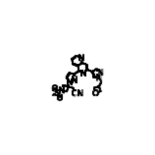 CS(=O)(=O)N1CC(CC#N)(n2ccc(-c3nc(-c4cnn(CC5COC5)c4)cc4ncccc34)n2)C1